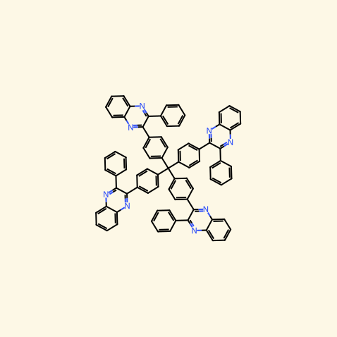 c1ccc(-c2nc3ccccc3nc2-c2ccc(C(c3ccc(-c4nc5ccccc5nc4-c4ccccc4)cc3)(c3ccc(-c4nc5ccccc5nc4-c4ccccc4)cc3)c3ccc(-c4nc5ccccc5nc4-c4ccccc4)cc3)cc2)cc1